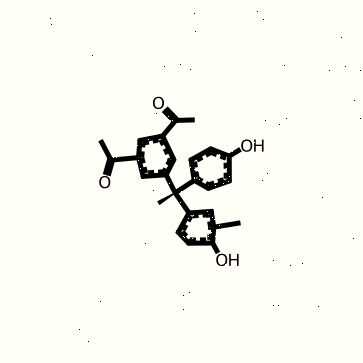 CC(=O)c1cc(C(C)=O)cc([C@](C)(c2ccc(O)cc2)c2ccc(O)c(C)c2)c1